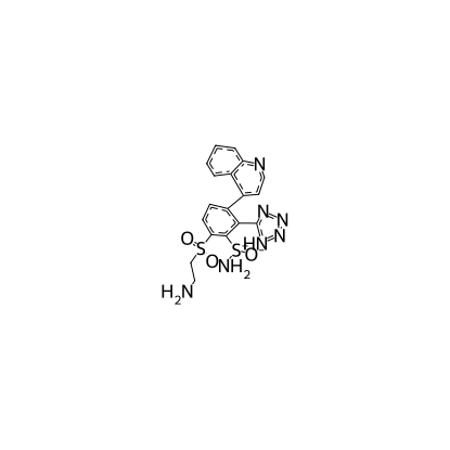 NCCS(=O)(=O)c1ccc(-c2ccnc3ccccc23)c(-c2nnn[nH]2)c1[S+](N)[O-]